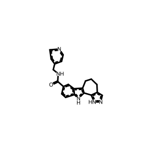 O=C(NCc1ccncc1)c1ccc2[nH]c3c(c2c1)CCCc1cn[nH]c1-3